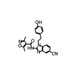 Cc1noc(C)c1C(=O)Nc1nc2cc(C#N)ccc2n1CCc1ccc(O)cc1